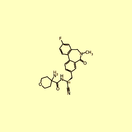 CN1Cc2cc(F)ccc2-c2ccc(C[C@@H](C#N)NC(=O)C3(N)CCOCC3)cc2C1=O